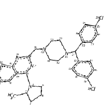 CC1CCCN1c1nc(CN2CCN(C(c3ccc(Cl)cc3)c3ccc(Cl)cc3)CC2)nc2ccccc12